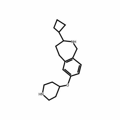 c1cc2c(cc1OC1CCNCC1)CCC(C1CCC1)NC2